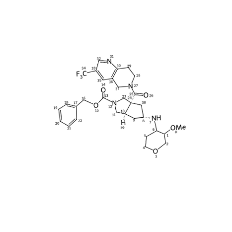 COC1COCCC1N[C@@H]1C[C@H]2CN(C(=O)OCc3ccccc3)C[C@@]2(C(=O)N2CCc3ncc(C(F)(F)F)cc3C2)C1